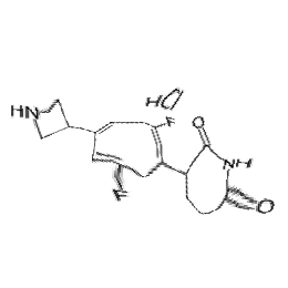 Cl.O=C1CCC(c2c(F)cc(C3CNC3)cc2F)C(=O)N1